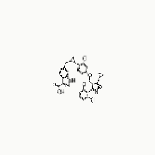 O=C(O)c1n[nH]c2cc(CC3CC3c3ccc(OCc4c(-c5c(Cl)cccc5Cl)noc4C4CC4)cc3Cl)ccc12